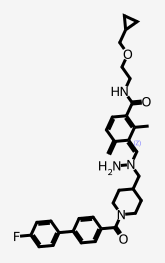 C=c1ccc(C(=O)NCCOCC2CC2)c(C)/c1=C/N(N)CC1CCN(C(=O)c2ccc(-c3ccc(F)cc3)cc2)CC1